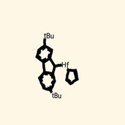 CC(C)(C)c1ccc2c(c1)[CH]([Hf][CH]1C=CC=C1)c1cc(C(C)(C)C)ccc1-2